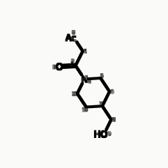 CC(=O)CC(=O)N1CCC(CO)CC1